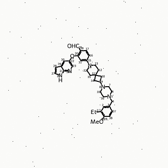 CCc1cc(CN2CCN(C3CC4(CCN(c5ccc(C=O)c(Oc6cnc7[nH]ccc7c6)c5)CC4)C3)CC2)ccc1OC